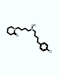 CCCN(CCCCc1ccc(Cl)cc1)CCCCN1CCCCC1=O